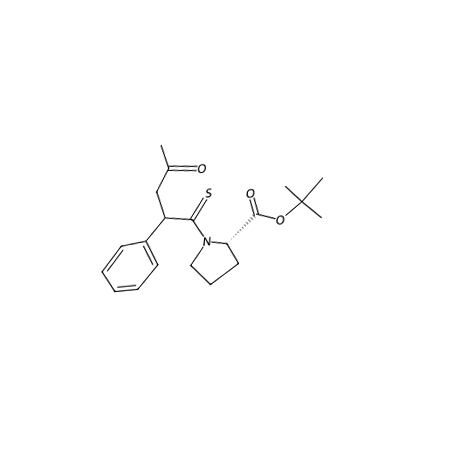 CC(=O)CC(C(=S)N1CCC[C@H]1C(=O)OC(C)(C)C)c1ccccc1